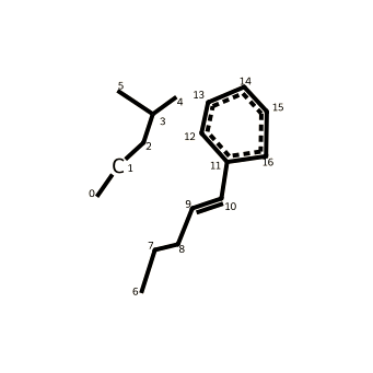 CCCC(C)C.CCCC=Cc1ccccc1